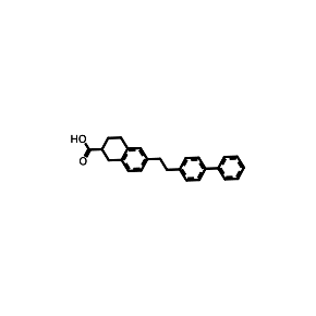 O=C(O)C1CCc2cc(CCc3ccc(-c4ccccc4)cc3)ccc2C1